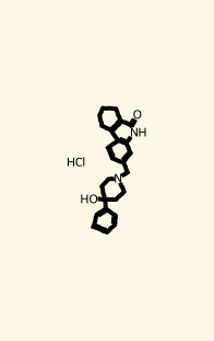 Cl.O=c1[nH]c2cc(CN3CCC(O)(c4ccccc4)CC3)ccc2c2c1CCCC2